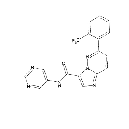 O=C(Nc1cncnc1)c1cnc2ccc(-c3ccccc3C(F)(F)F)nn12